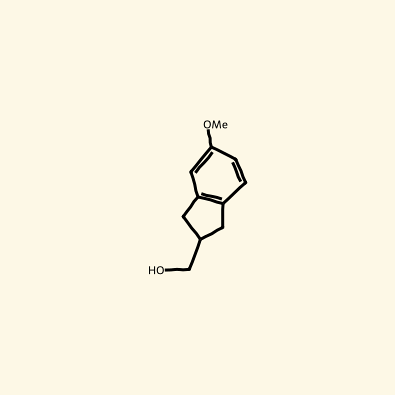 COc1ccc2c(c1)CC(CO)C2